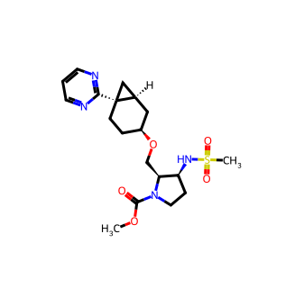 COC(=O)N1CC[C@H](NS(C)(=O)=O)[C@@H]1CO[C@H]1CC[C@@]2(c3ncccn3)C[C@H]2C1